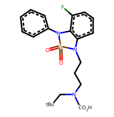 CC(C)(C)CN(CCCN1c2cccc(F)c2N(c2ccccc2)S1(=O)=O)C(=O)O